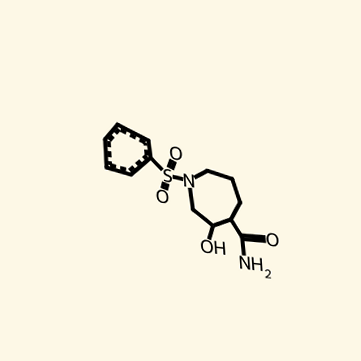 NC(=O)C1CCCN(S(=O)(=O)c2ccccc2)CC1O